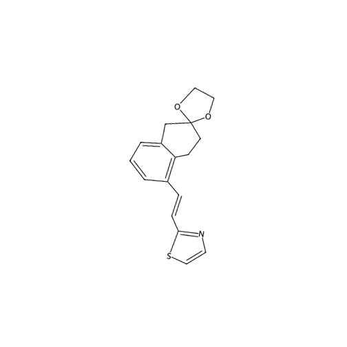 C(=Cc1cccc2c1CCC1(C2)OCCO1)c1nccs1